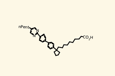 CCCCCc1cnc(-c2ccc(-c3ccc(C4(CCCCCCCCCC(=O)O)CCCC4)cc3)cc2)nc1